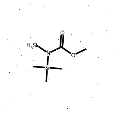 COC(=O)N([SiH3])[Si](C)(C)C